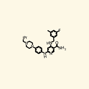 Cc1cc(F)cc(CNc2cc(Nc3ccc(N4CCN(CC(C)C)CC4)cc3)ncc2C(N)=O)c1